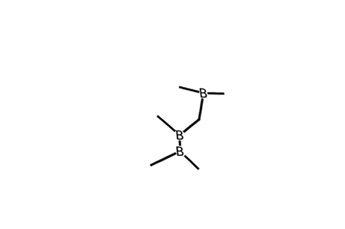 CB(C)CB(C)B(C)C